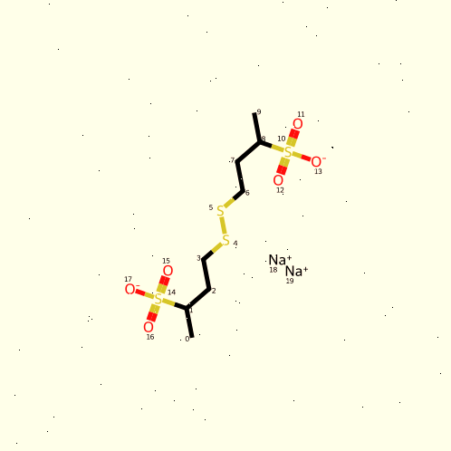 CC(CCSSCCC(C)S(=O)(=O)[O-])S(=O)(=O)[O-].[Na+].[Na+]